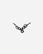 CCCCCCOc1ccc(N(c2ccccc2)c2ccc(OCCCCCC)cc2)cc1